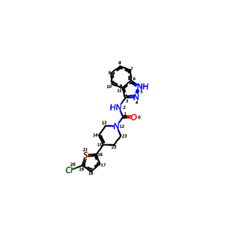 O=C(Nc1n[nH]c2ccccc12)N1CC=C(c2ccc(Cl)s2)CC1